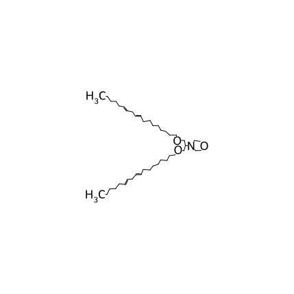 CCCCCC=CCC=CCCCCCCCCOCC(COCCCCCCCCC=CCC=CCCCCC)N1CCOCC1